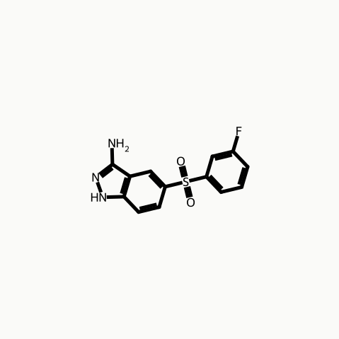 Nc1n[nH]c2ccc(S(=O)(=O)c3cccc(F)c3)cc12